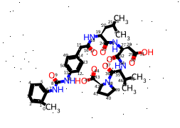 Cc1ccccc1NC(=O)Nc1ccc(CC(=O)N[C@@H](CC(C)C)C(=O)N[C@@H](CC(=O)O)C(=O)N[C@H](C(=O)N2CCC[C@H]2C(=O)O)C(C)C)cc1